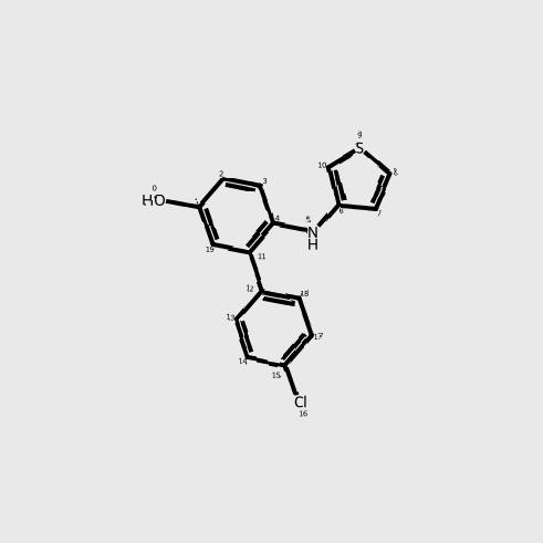 Oc1ccc(Nc2ccsc2)c(-c2ccc(Cl)cc2)c1